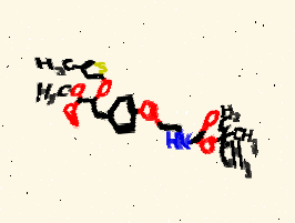 COC(=O)C(Cc1ccc(OCCNC(=O)OC(C)(C)C)cc1)Oc1cc(C)cs1